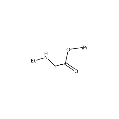 CCN[CH]C(=O)OC(C)C